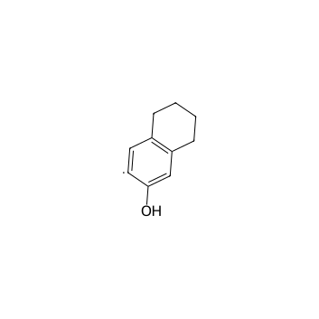 Oc1[c]cc2c(c1)CCCC2